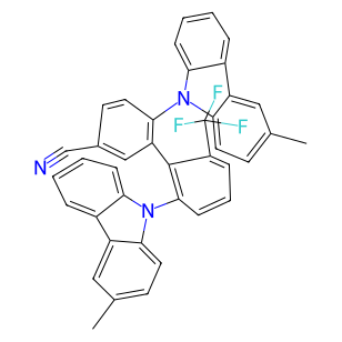 Cc1ccc2c(c1)c1ccccc1n2-c1ccc(C#N)cc1-c1c(-n2c3ccccc3c3cc(C)ccc32)cccc1C(F)(F)F